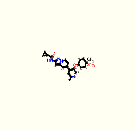 Cc1cc(-c2ccn3nc(NC(=O)C4CC4)cc3c2)c(O[C@H]2CC[C@@](O)(C(F)(F)F)CC2)cn1